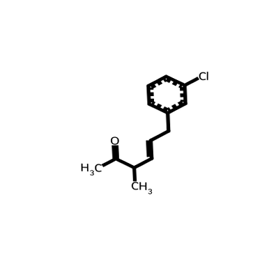 CC(=O)C(C)C=CCc1cccc(Cl)c1